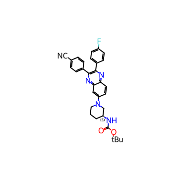 CC(C)(C)OC(=O)N[C@H]1CCCN(c2ccc3nc(-c4ccc(F)cc4)c(-c4ccc(C#N)cc4)nc3c2)C1